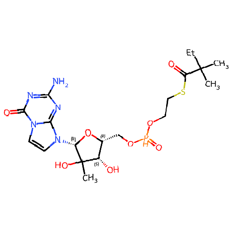 CCC(C)(C)C(=O)SCCO[PH](=O)OC[C@H]1O[C@@H](n2ccn3c(=O)nc(N)nc23)C(C)(O)[C@H]1O